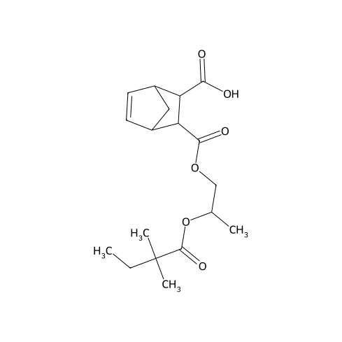 CCC(C)(C)C(=O)OC(C)COC(=O)C1C2C=CC(C2)C1C(=O)O